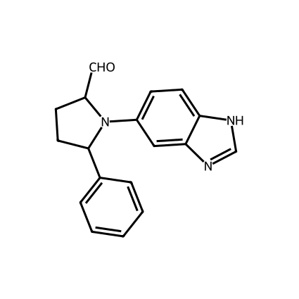 O=CC1CCC(c2ccccc2)N1c1ccc2[nH]cnc2c1